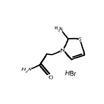 Br.NC(=O)CN1C=CSC1N